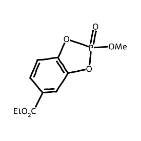 CCOC(=O)c1ccc2c(c1)OP(=O)(OC)O2